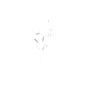 CCOCc1nc2c(NC(C)(C)CC(C)(C)C)nc(C)c(C)c2[nH]1